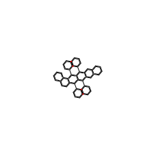 c1ccc(-c2c3cc4ccccc4cc3c(-c3ccccc3)c3c(-c4ccccc4)c4c(ccc5ccccc54)c(-c4ccccc4)c23)cc1